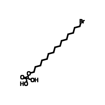 O=P(O)(O)OCCCCCCCCCCCCCCCBr